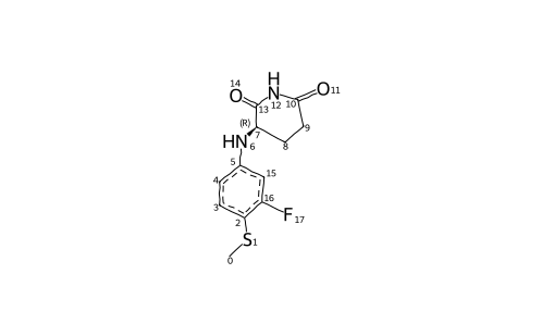 CSc1ccc(N[C@@H]2CCC(=O)NC2=O)cc1F